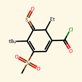 CCC1C(C(=O)Cl)=CC(S(C)(=O)=O)=C(C(C)(C)C)C1=S=O